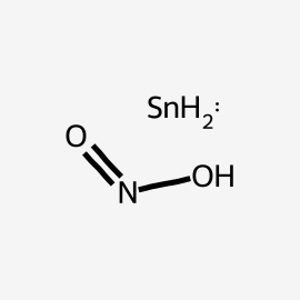 O=NO.[SnH2]